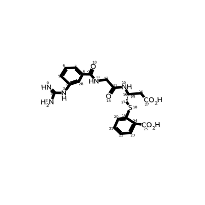 N=C(N)Nc1cccc(C(=O)NCC(=O)N[C@@H](CSc2ccccc2C(=O)O)CC(=O)O)c1